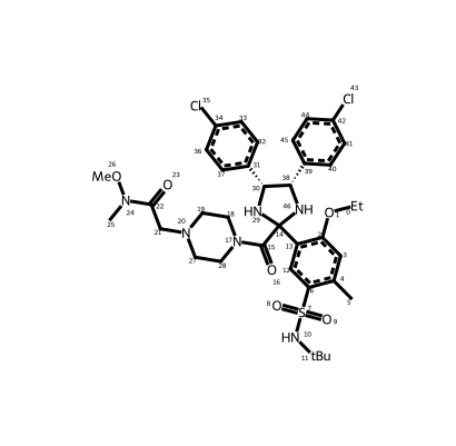 CCOc1cc(C)c(S(=O)(=O)NC(C)(C)C)cc1C1(C(=O)N2CCN(CC(=O)N(C)OC)CC2)N[C@H](c2ccc(Cl)cc2)[C@H](c2ccc(Cl)cc2)N1